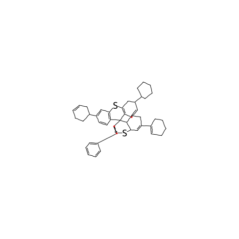 C1=CCC(c2ccc3c(c2)SC2=C(C=CC(C4CCCCC4)C2)C32C3CCC(c4ccccc4)C=C3SC3C=C(C4=CCCCC4)CCC32)CC1